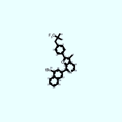 Cc1c(-c2ccc(CC(C)(C)C(F)(F)F)cc2)oc2c(-c3cc(C(C)(C)C)c4ccccc4c3)nccc12